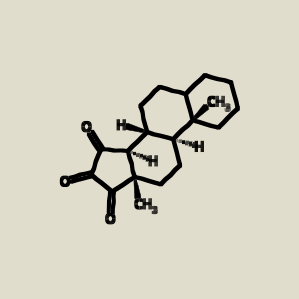 C[C@]12CCCCC1CC[C@@H]1[C@@H]2CC[C@]2(C)C(=O)C(=O)C(=O)[C@@H]12